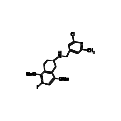 COc1cc(I)c(OC)c2c1CC(NCc1cc(C)cc(Cl)c1)CC2